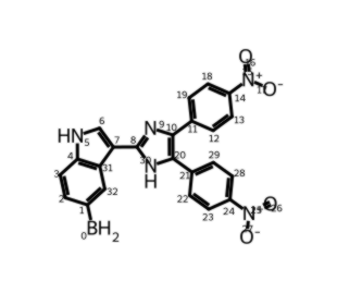 Bc1ccc2[nH]cc(-c3nc(-c4ccc([N+](=O)[O-])cc4)c(-c4ccc([N+](=O)[O-])cc4)[nH]3)c2c1